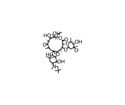 CC[C@H]1OC(=O)[C@H](C)[C@@H](O[C@H]2C[C@@](C)(OC)[C@@H](O)[C@H](C)O2)[C@H](C)[C@@H](O[C@@H]2O[C@H](C)C[C@H](N(C)CC(C)(C)C)[C@H]2O)[C@](C)(O)C[C@@H](C)C(=O)[C@H](C)[C@@H](O)[C@]1(C)O